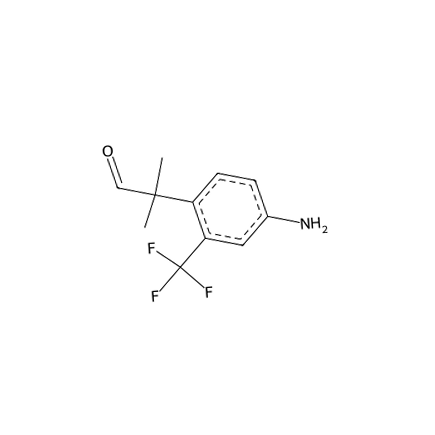 CC(C)(C=O)c1ccc(N)cc1C(F)(F)F